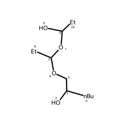 CCCCC(O)COC(CC)OC(O)CC